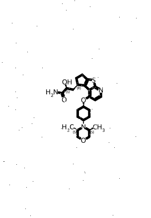 C[C@H]1COC[C@H](C)N1[C@H]1CC[C@H](Oc2ccnc3sc4c(c23)[C@@H](C[C@H](O)C(N)=O)CC4)CC1